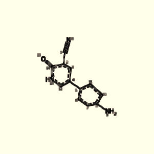 N#Cc1cc(-c2ccc(N)cc2)c[nH]c1=O